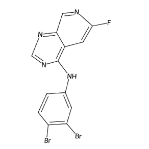 Fc1cc2c(Nc3ccc(Br)c(Br)c3)ncnc2cn1